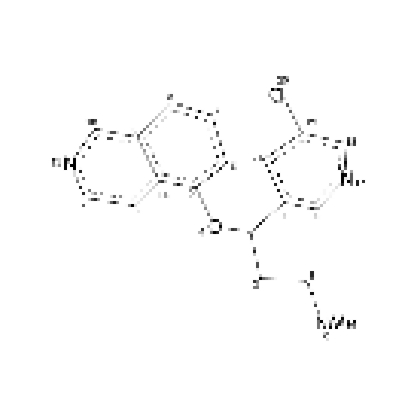 CNCCC(Oc1cccc2cnccc12)c1cncc(Cl)c1